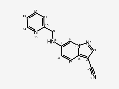 N#Cc1cnn2cc(NCc3ccccn3)ccc12